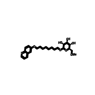 COC[C@H]1OC(OCCCCCCCCOc2ccc3ncccc3c2)[C@H](O)[C@@H](O)[C@@H]1O